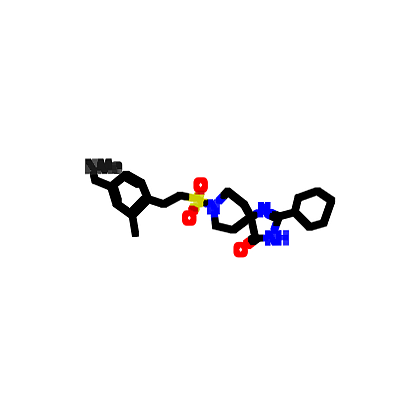 CNCc1ccc(CCS(=O)(=O)N2CCC3(CC2)N=C(C2CCCCC2)NC3=O)c(C)c1